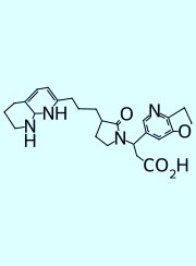 O=C(O)CC(c1cnc2c(c1)OCC2)N1CCC(CCCC2=CC=C3CCCNC3N2)C1=O